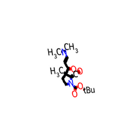 CN(C)C=CC(=O)C1(C)CCN(C(=O)OC(C)(C)C)C1=C=O